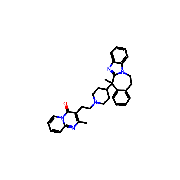 Cc1nc2ccccn2c(=O)c1CCN1CCC(C2(C)c3ccccc3CCn3c2nc2ccccc23)CC1